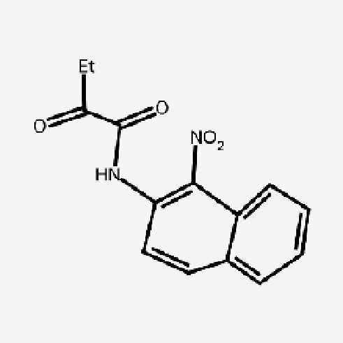 CCC(=O)C(=O)Nc1ccc2ccccc2c1[N+](=O)[O-]